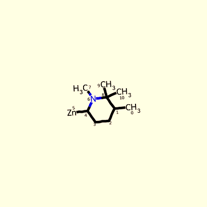 CC1CC[CH]([Zn])N(C)C1(C)C